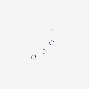 c1ccc(COc2ccc3c(c2)CCN(c2cncc(OC[C@@H]4CCCN4)c2)C3)cc1